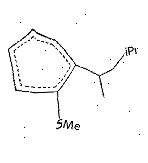 CSc1ccccc1C(C)C(C)C